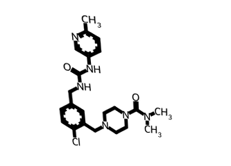 Cc1ccc(NC(=O)NCc2ccc(Cl)c(CN3CCN(C(=O)N(C)C)CC3)c2)cn1